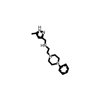 Cc1cc(CNCCN2CCN(c3ccccc3)CC2)n[nH]1